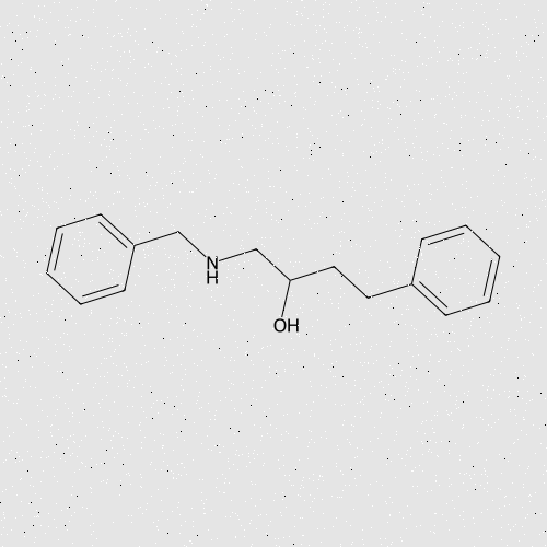 OC(CCc1ccccc1)CNCc1ccccc1